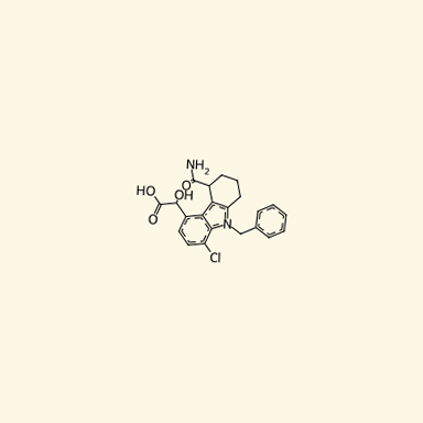 NC(=O)C1CCCc2c1c1c(C(O)C(=O)O)ccc(Cl)c1n2Cc1ccccc1